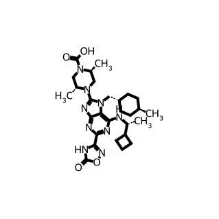 C[C@@H]1CN(C(=O)O)[C@@H](C)CN1c1nc2nc(-c3noc(=O)[nH]3)nc(N[C@H](C)C3CCC3)c2n1C[C@H]1CC[C@H](C)CC1